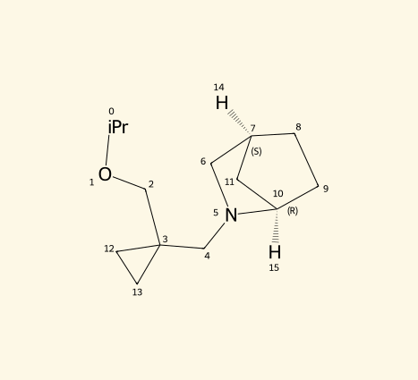 CC(C)OCC1(CN2C[C@H]3CC[C@@H]2C3)CC1